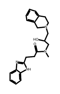 CN(CC(O)CN1CCc2ccccc2C1)C(=O)CCc1nc2ccccc2[nH]1